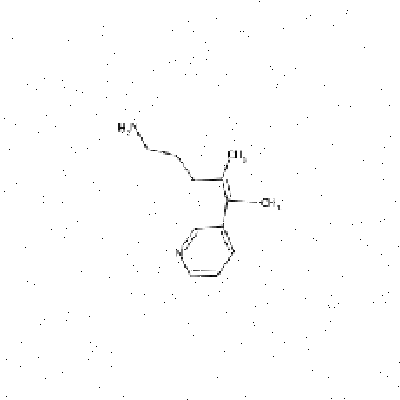 CC(CCCN)=C(C)c1cccnc1